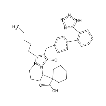 CCCCCc1c(Cc2ccc(-c3ccccc3-c3nnn[nH]3)cc2)c(=O)n2n1CCCC2C1(C(=O)O)CCCCC1